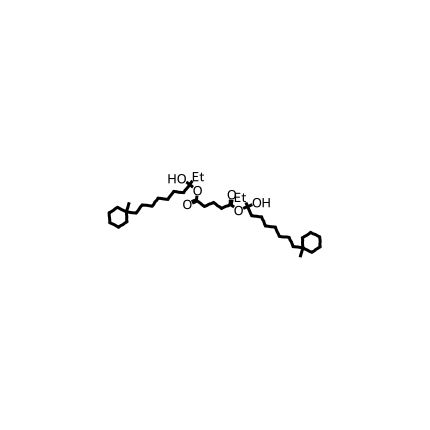 CCC(O)(CCCCCCCC1(C)CCCCC1)OC(=O)CCCC(=O)OC(O)(CC)CCCCCCCC1(C)CCCCC1